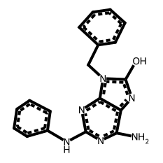 Nc1nc(Nc2ccccc2)nc2c1nc(O)n2Cc1ccccc1